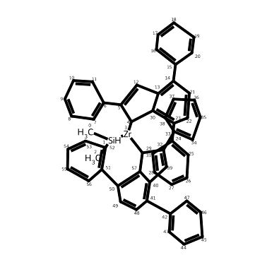 C[SiH](C)[Zr]([CH]1C(c2ccccc2)=Cc2c(-c3ccccc3)ccc(-c3ccccc3)c21)[CH]1C(c2ccccc2)=Cc2c(-c3ccccc3)ccc(-c3ccccc3)c21